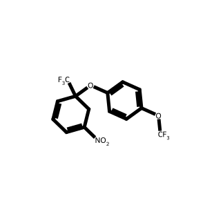 O=[N+]([O-])C1=CC=CC(Oc2ccc(OC(F)(F)F)cc2)(C(F)(F)F)C1